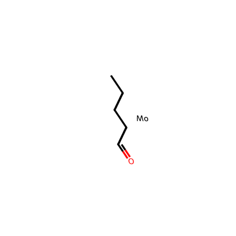 CCCCC=O.[Mo]